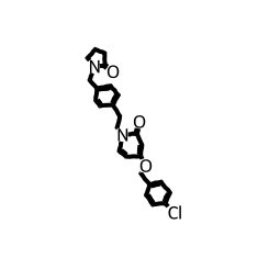 O=C1CCCN1Cc1ccc(CCn2ccc(OCc3ccc(Cl)cc3)cc2=O)cc1